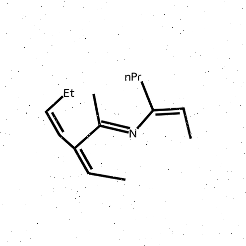 CC=C(/C=C\CC)/C(C)=N/C(=C\C)CCC